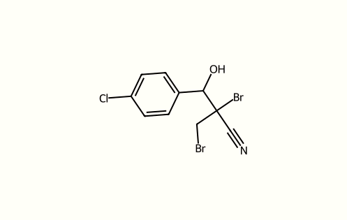 N#CC(Br)(CBr)C(O)c1ccc(Cl)cc1